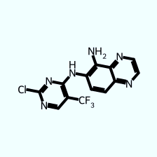 Nc1c(Nc2nc(Cl)ncc2C(F)(F)F)ccc2nccnc12